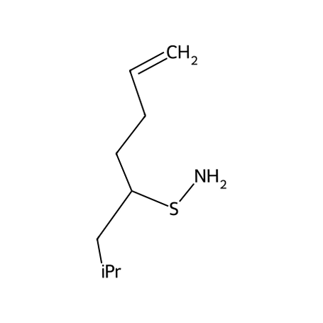 C=CCCC(CC(C)C)SN